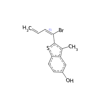 C=C/C=C(/Br)c1sc2ccc(O)cc2c1C